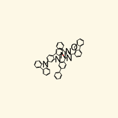 c1ccc(-c2ccc(-c3nc(-c4ccccc4)nc(-c4cccc5c4oc4ccccc45)n3)c(-n3c4ccccc4c4ccc(-n5c6ccccc6c6ccccc65)cc43)c2)cc1